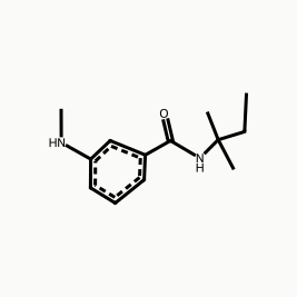 CCC(C)(C)NC(=O)c1cccc(NC)c1